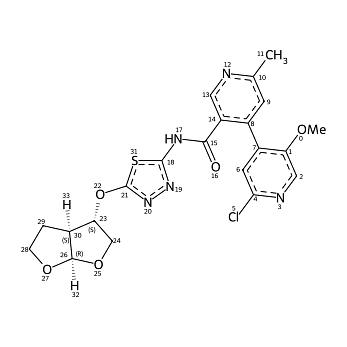 COc1cnc(Cl)cc1-c1cc(C)ncc1C(=O)Nc1nnc(O[C@@H]2CO[C@H]3OCC[C@H]32)s1